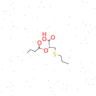 CCCSCC(OC(=O)CCC)C(=O)O